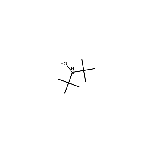 CC(C)(C)[SiH](O)C(C)(C)C